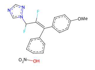 COc1ccc(C(=C(F)C(F)n2cncn2)c2ccccc2)cc1.O=[N+]([O-])O